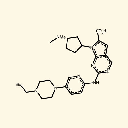 CCC(C)CN1CCN(c2ccc(Nc3ncc4cc(C(=O)O)n(C5CCCC5)c4n3)nc2)CC1.CNC